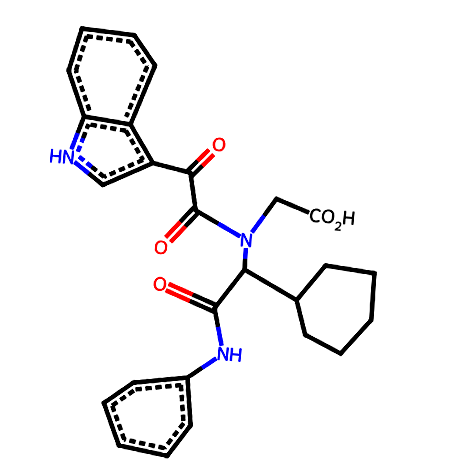 O=C(O)CN(C(=O)C(=O)c1c[nH]c2ccccc12)C(C(=O)Nc1ccccc1)C1CCCCC1